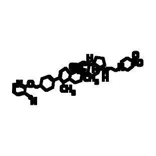 CC1C(C2=CC[C@H](COc3ncccc3C#N)CC2)=CC[C@@]2(C)C1CC[C@]1(C)C2CC[C@@H]2[C@H]3CCC[C@]3(NCCN3CCS(=O)(=O)CC3)CC[C@]21C